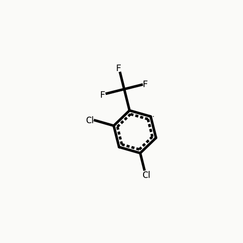 FC(F)(F)c1[c]cc(Cl)cc1Cl